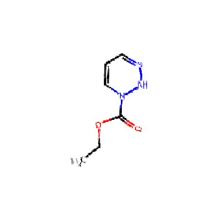 CCOC(=O)N1C=CC=NN1